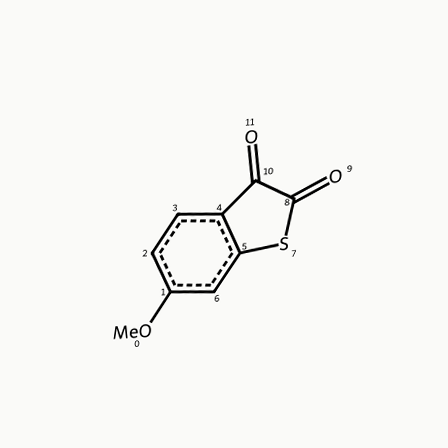 COc1ccc2c(c1)SC(=O)C2=O